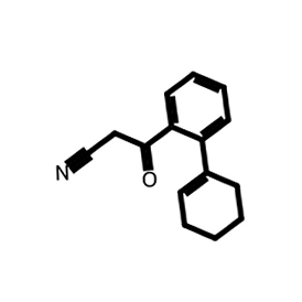 N#CCC(=O)c1ccccc1C1=CCCCC1